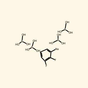 Fc1ccc[c]([Na])c1F.OB(O)O.OB(O)O.OB(O)O.OB(O)O